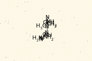 CCc1cc2c(cc1N1CCC(CCCCN3CC[C@@H](NC(=O)[C@@H](N)CCCn4ccnc4N)C3)CC1)C(C)(C)c1[nH]c3cc(C#N)ccc3c1C2=O